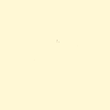 C=C(C)c1cc(C)c([Si](C)(C)C)cn1